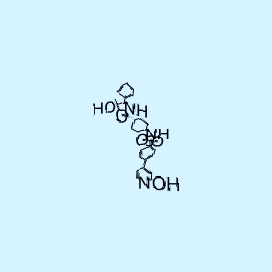 CC(C)(O)[C@@H](NC(=O)[C@H]1CC[C@H](NS(=O)(=O)c2ccc(-c3ccnc(O)c3)cc2)CC1)c1ccccc1